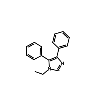 CCn1[c]nc(-c2ccccc2)c1-c1ccccc1